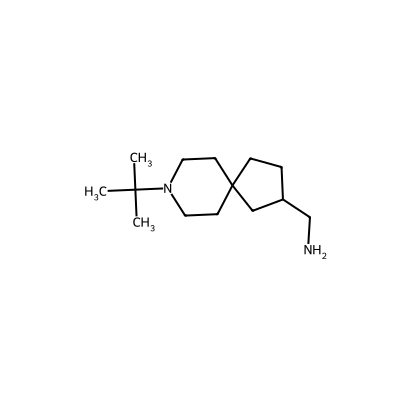 CC(C)(C)N1CCC2(CCC(CN)C2)CC1